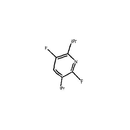 CC(C)c1cc(F)c(C(C)C)nc1F